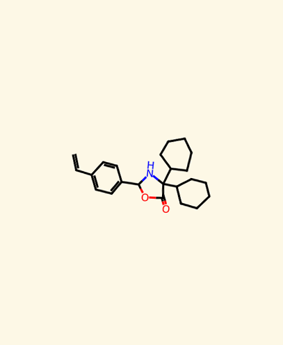 C=Cc1ccc(C2NC(C3CCCCC3)(C3CCCCC3)C(=O)O2)cc1